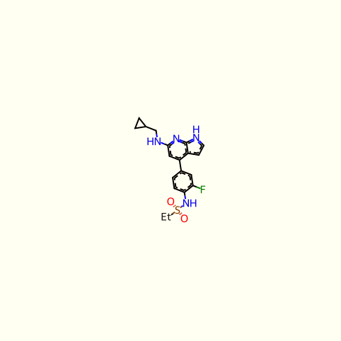 CCS(=O)(=O)Nc1ccc(-c2cc(NCC3CC3)nc3[nH]ccc23)cc1F